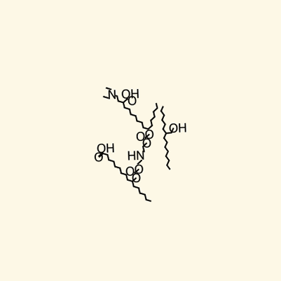 CCCCCCC(CCCCCCCCC(=O)O)OC(=O)OCCNCCOC(=O)OC(CCCCCC)CCCCCCCC(CCN(CC)CC)C(=O)O.CCCCCCCCC(CO)CCCCCC